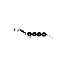 C=CC1CC=C(c2ccc(-c3ccc(-c4ccc(OCCCCCC)c(F)c4F)cc3)c(F)c2F)CC1